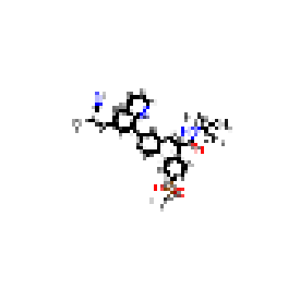 CC(C#N)Cc1cc(-c2cccc(/C=C(/C(=O)NC(C)(C)C)c3ccc(S(C)(=O)=O)cc3)c2)c2ncccc2c1